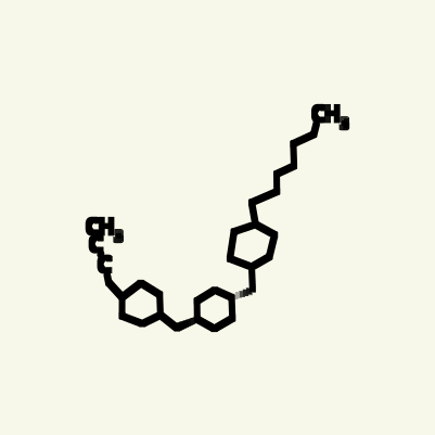 CCCCCCCC1CCC(C[C@H]2CC[C@H](CC3CCC(CCCC)CC3)CC2)CC1